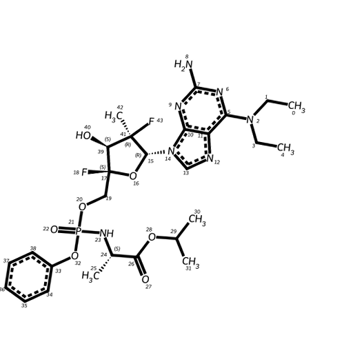 CCN(CC)c1nc(N)nc2c1ncn2[C@@H]1O[C@](F)(COP(=O)(N[C@@H](C)C(=O)OC(C)C)Oc2ccccc2)[C@@H](O)[C@@]1(C)F